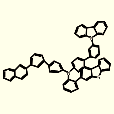 c1cc(-c2ccc(N(c3ccc(-c4cccc(-n5c6ccccc6c6ccccc65)c4)cc3)c3ccccc3-c3ccc4c(c3)sc3ccccc34)cc2)cc(-c2ccc3ccccc3c2)c1